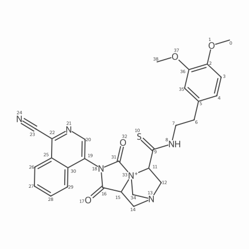 COc1ccc(CCNC(=S)C2CN3CC4C(=O)N(c5cnc(C#N)c6ccccc56)C(=O)[N+]42C3)cc1OC